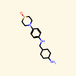 NC1CCC(CNc2ccc(N3CC[S+]([O-])CC3)cc2)CC1